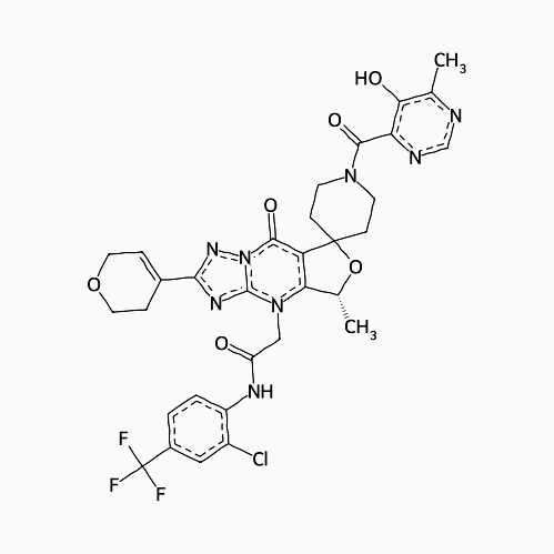 Cc1ncnc(C(=O)N2CCC3(CC2)O[C@H](C)c2c3c(=O)n3nc(C4=CCOCC4)nc3n2CC(=O)Nc2ccc(C(F)(F)F)cc2Cl)c1O